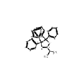 CC(C)B1OC(c2ccccc2)(c2ccccc2)C(c2ccccc2)(c2ccccc2)O1